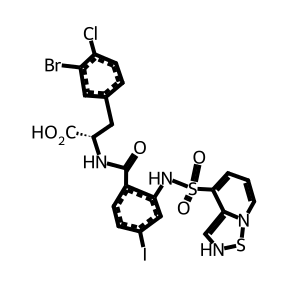 O=C(N[C@@H](Cc1ccc(Cl)c(Br)c1)C(=O)O)c1ccc(I)cc1NS(=O)(=O)C1=CC=CN2SNC=C12